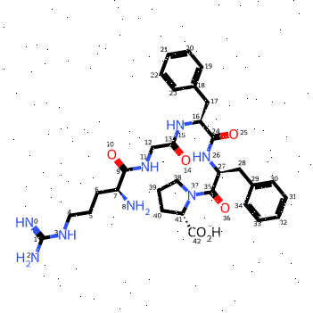 N=C(N)NCCC[C@H](N)C(=O)NCC(=O)N[C@@H](Cc1ccccc1)C(=O)N[C@@H](Cc1ccccc1)C(=O)N1CCC[C@H]1C(=O)O